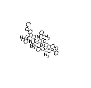 Cc1c2c(c(C)c3c1B1c4ccccc4N(c4ccccc4)c4c1c(cc1c4C(C)(C)c4cc(Oc5ccccc5)ccc4-1)N3c1ccccc1)Oc1cc3c(c4c1B2c1ccccc1O4)C(C)(C)c1cc(Oc2ccccc2)ccc1-3